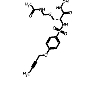 CC#CCOc1ccc(S(=O)(=O)N[C@H](CSCNC(C)=O)C(=O)NO)cc1